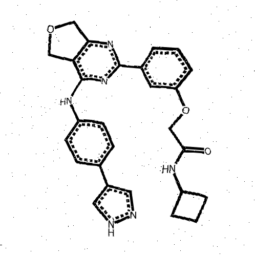 O=C(COc1cccc(-c2nc3c(c(Nc4ccc(-c5cn[nH]c5)cc4)n2)COC3)c1)NC1CCC1